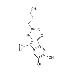 CCCCC(=O)NC1=C(C2CC2)c2cc(O)c(O)cc2C1=O